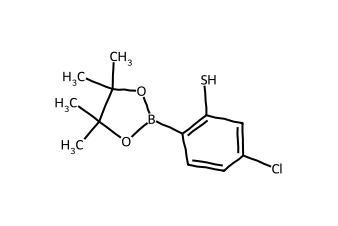 CC1(C)OB(c2ccc(Cl)cc2S)OC1(C)C